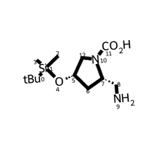 CC(C)(C)[Si](C)(C)O[C@H]1C[C@@H](CN)N(C(=O)O)C1